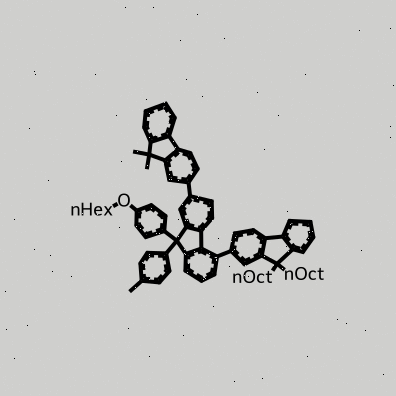 CCCCCCCCC1(CCCCCCCC)c2ccccc2-c2ccc(-c3cccc4c3-c3ccc(-c5ccc6c(c5)C(C)(C)c5ccccc5-6)cc3C4(c3ccc(C)cc3)c3ccc(OCCCCCC)cc3)cc21